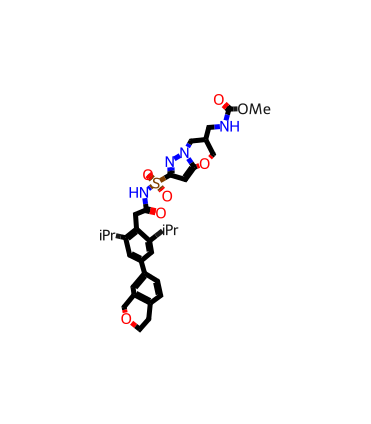 COC(=O)NCC1COc2cc(S(=O)(=O)NC(=O)Cc3c(C(C)C)cc(-c4ccc5c(c4)COCC5)cc3C(C)C)nn2C1